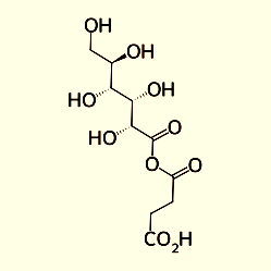 O=C(O)CCC(=O)OC(=O)[C@H](O)[C@@H](O)[C@H](O)[C@H](O)CO